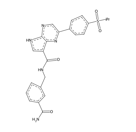 CC(C)S(=O)(=O)c1ccc(-c2cnc3[nH]cc(C(=O)NCc4cccc(C(N)=O)c4)c3n2)cc1